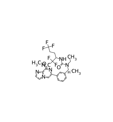 CCN(C(=O)NC(CCC(F)(F)F)C(C)(F)F)[C@H](C)c1cccc(-c2cn3ccnc3c(OC)n2)c1